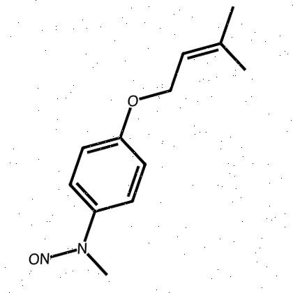 CC(C)=CCOc1ccc(N(C)N=O)cc1